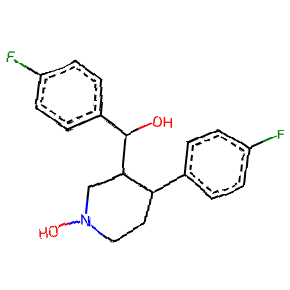 OC(c1ccc(F)cc1)C1CN(O)CCC1c1ccc(F)cc1